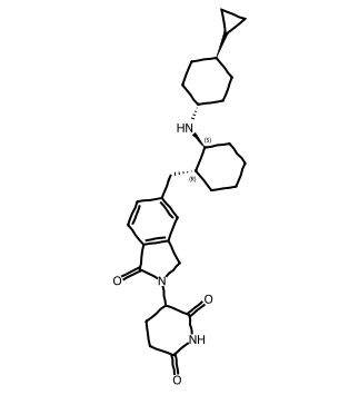 O=C1CCC(N2Cc3cc(C[C@H]4CCCC[C@@H]4N[C@H]4CC[C@H](C5CC5)CC4)ccc3C2=O)C(=O)N1